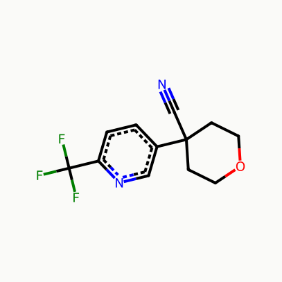 N#CC1(c2ccc(C(F)(F)F)nc2)CCOCC1